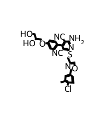 Cc1cc(-c2nc(CSc3nc(N)c(C#N)c(-c4ccc(OC[C@@H](O)CO)cc4)c3C#N)co2)ccc1Cl